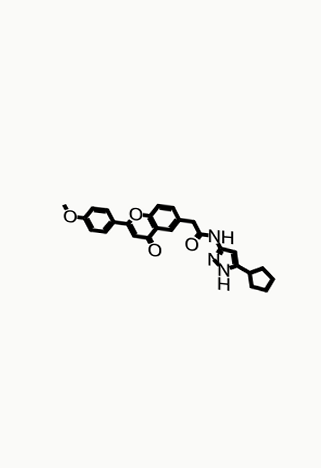 COc1ccc(-c2cc(=O)c3cc(CC(=O)Nc4cc(C5CCCC5)[nH]n4)ccc3o2)cc1